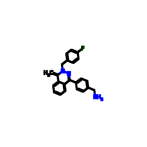 C=C1c2ccccc2C(c2ccc(CN)cc2)=NN1Cc1ccc(F)cc1